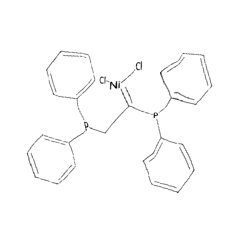 [Cl][Ni]([Cl])=[C](CP(c1ccccc1)c1ccccc1)P(c1ccccc1)c1ccccc1